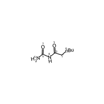 CCCC[CH]C(=O)NC(N)=O